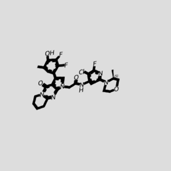 Cc1cc(-c2cn(CC(=O)Nc3cc(N4CCOC[C@@H]4C)nc(F)c3Cl)c3nc4n(c(=O)c23)CCCC4)c(F)c(F)c1O